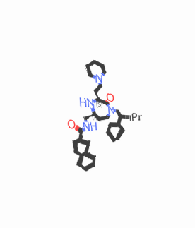 CC(C)C(CN1CC[C@@H](CNC(=O)c2ccc3ccccc3c2)N[C@@H](CCN2CCCCC2)C1=O)c1ccccc1